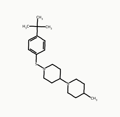 CC1CCN(C2CCN(Sc3ccc(C(C)(C)C)cc3)CC2)CC1